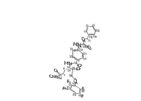 CC(C)COC(=O)CC[C@H](NC(=O)c1ccc(NC(=O)OCc2ccccc2)cc1)C(=O)COc1c(F)c(F)cc(F)c1F